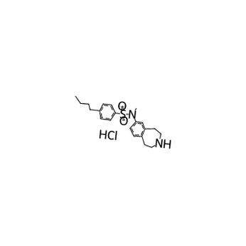 CCCCc1ccc(S(=O)(=O)N(C)c2ccc3c(c2)CCNCC3)cc1.Cl